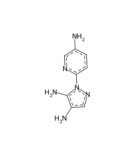 Nc1ccc(-n2ncc(N)c2N)nc1